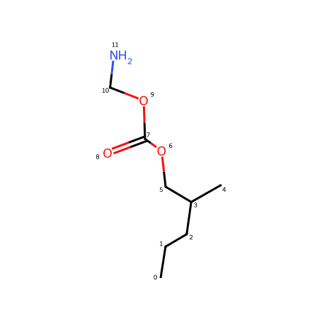 CCCC(C)COC(=O)OCN